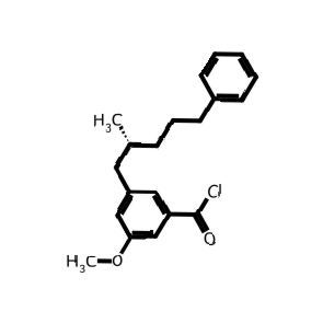 COc1cc(C[C@H](C)CCCc2ccccc2)cc(C(=O)Cl)c1